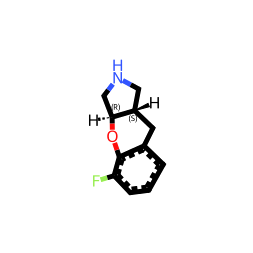 Fc1cccc2c1O[C@H]1CNC[C@@H]1C2